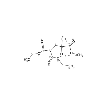 CCOC(=O)C(CC(C)(C)C(=O)OC)C(=O)OCC